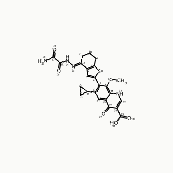 COc1c(-c2cc3c(s2)CCC/C3=N\NC(=O)C(N)=O)c(C2CC2)cc2c(=O)c(C(=O)O)c[nH]c12